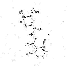 COc1cc(C(=O)NCC(=O)c2c(F)cccc2F)ccc1Br